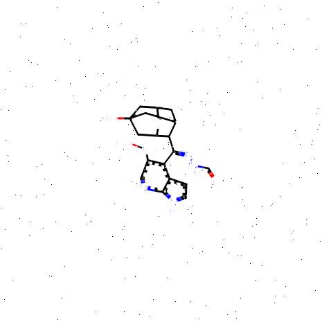 O=CN/N=C(\c1c(BO)cnc2[nH]ccc12)C1C2CC3CC1CC(O)(C3)C2